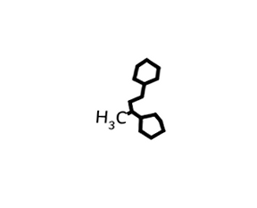 CC(CCC1CCCCC1)C1CCCCC1